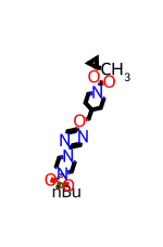 CCCCS(=O)(=O)N1CCN(c2cnc(OCC3CCN(C(=O)OC4(C)CC4)CC3)cn2)CC1